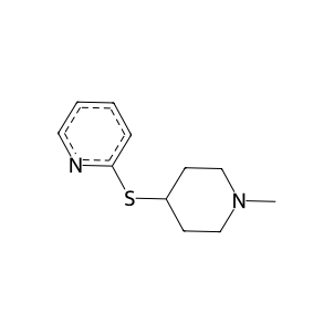 CN1CCC(Sc2ccccn2)CC1